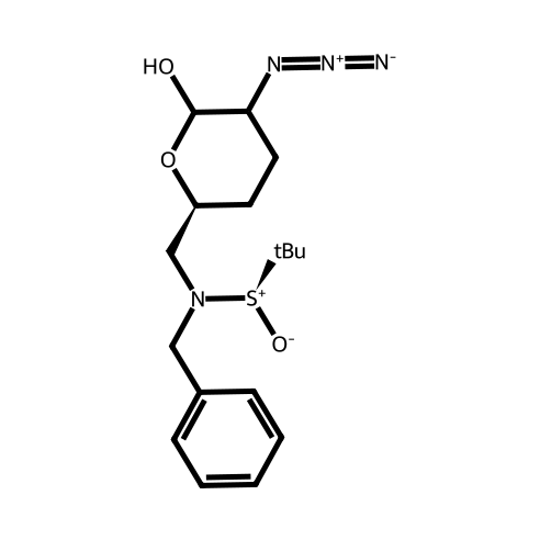 CC(C)(C)[S@@+]([O-])N(Cc1ccccc1)C[C@@H]1CCC(N=[N+]=[N-])C(O)O1